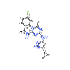 Cc1nc(Nc2cc(C3CC3)[nH]n2)nc(N[C@@H](C)c2ccc(F)cc2)n1